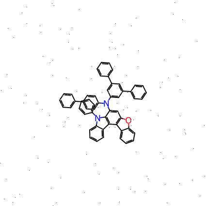 c1ccc(-c2ccc(N(c3cc(-c4ccccc4)cc(-c4ccccc4)c3)c3cc4oc5ccccc5c4c4c5ccccc5n(-c5ccccc5)c34)cc2)cc1